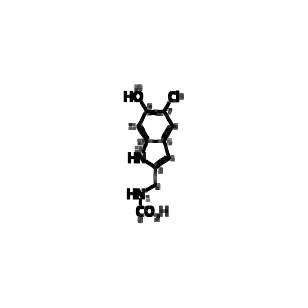 O=C(O)NCc1cc2cc(Cl)c(O)cc2[nH]1